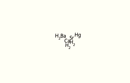 [BaH2].[CaH2].[Hg].[SrH2]